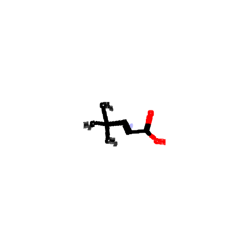 CC(C)(C)/C=C/C(=O)O